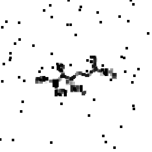 CCCN(CCC)C(=O)[C@@H](N)CCC(N)=O